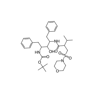 CC(C)C(CS(=O)(=O)N1CCOCC1)C(=O)NC(Cc1ccccc1)C(O)C(Cc1ccccc1)NC(=O)OC(C)(C)C